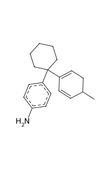 CC1C=CC(C2(c3ccc(N)cc3)CCCCC2)=CC1